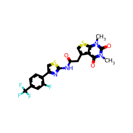 Cn1c(=O)c2c(CC(=O)Nc3nc(-c4ccc(C(F)(F)F)cc4F)cs3)csc2n(C)c1=O